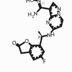 C[C@@H](Nc1ccn2ncc(/C(N)=N/O)c2n1)c1cc(F)cc2c1OC(=O)C2